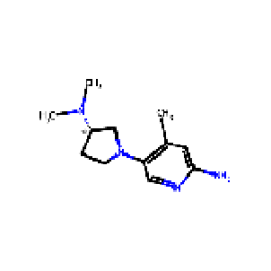 Cc1cc(N)ncc1N1CC[C@H](N(C)C)C1